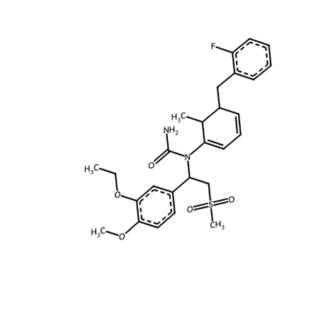 CCOc1cc(C(CS(C)(=O)=O)N(C(N)=O)C2=CC=CC(Cc3ccccc3F)C2C)ccc1OC